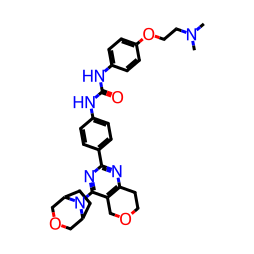 CN(C)CCOc1ccc(NC(=O)Nc2ccc(-c3nc4c(c(N5C6CCC5COC6)n3)COCC4)cc2)cc1